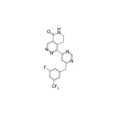 O=C1NCCc2c1cnnc2-c1cc(Cc2cc(F)cc(C(F)(F)F)c2)ncn1